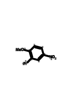 COc1ccc([N+](=O)[O-])cc1[C](C)C